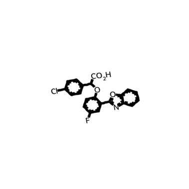 O=C(O)C(Oc1ccc(F)cc1-c1nc2ccccc2o1)c1ccc(Cl)cc1